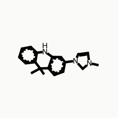 CN1C=CN(c2ccc3c(c2)Nc2ccccc2C3(C)C)C1